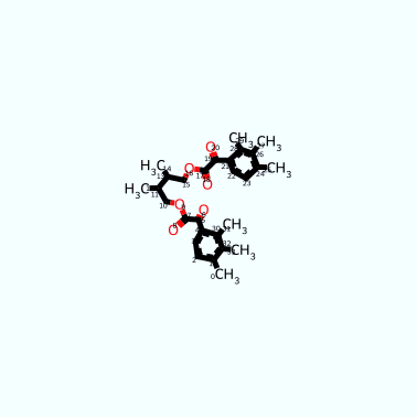 Cc1ccc(C(=O)C(=O)OCC(C)C(C)COC(=O)C(=O)c2ccc(C)c(C)c2C)c(C)c1C